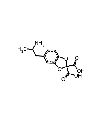 CC(N)Cc1ccc2c(c1)OC(C(=O)O)(C(=O)O)O2